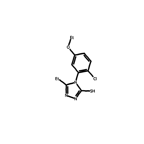 CCOc1ccc(Cl)c(-n2c(S)nnc2CC)c1